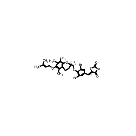 CC(C)=CCOc1c(C)c(C)c2c(c1C)CCC(C)(COc1c(Br)cc(/C=C3\SC(=O)NC3=O)cc1Br)O2